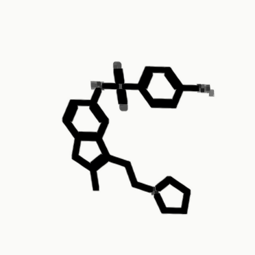 CC1=C(CCN2CCCC2)c2cc(NS(=O)(=O)c3ccc(N)cc3)ccc2C1